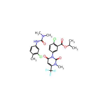 CC(C)OC(=O)c1cc(-n2c(=O)cc(C(F)(F)F)n(C)c2=O)ccc1Cl.Cc1ccc(NC(=O)N(C)C)cc1Cl